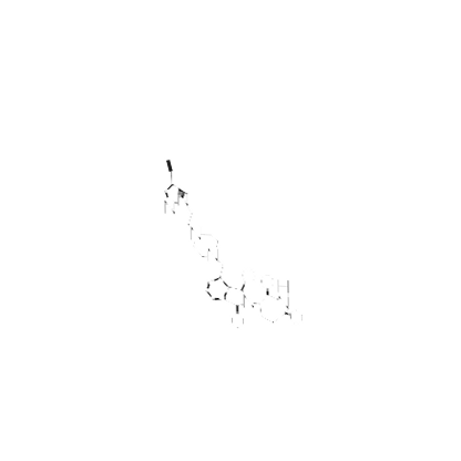 C#Cc1cnn(CCN2CCN(Cc3cccc4c3C(=O)N(C3CCC(=O)NC3=O)C4=O)CC2)c1